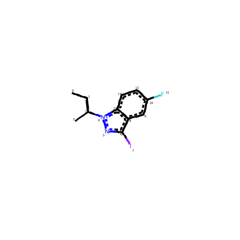 CCC(C)n1nc(I)c2cc(F)ccc21